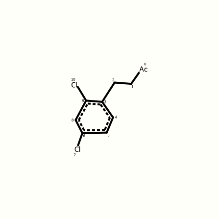 CC(=O)CCc1ccc(Cl)cc1Cl